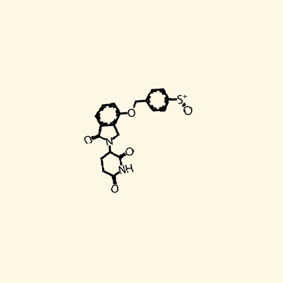 O=[S+]c1ccc(COc2cccc3c2CN(C2CCC(=O)NC2=O)C3=O)cc1